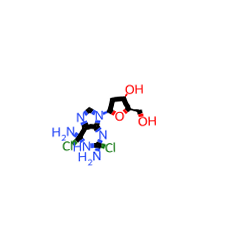 NC1(Cl)N=C2C(=NCN2[C@H]2C[C@H](O)[C@@H](CO)O2)C(N)(Cl)N1